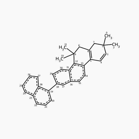 CC1(C)C=CC2=C(C1)CC(C)(C)c1c2ccc2cc(-c3c[c]cc4ccccc34)ccc12